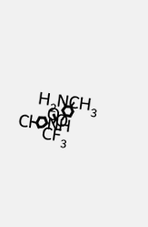 Cc1ccc(OC(=O)Nc2ccc(Cl)cc2C(F)(F)F)cc1N